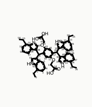 CCc1cccc2c(C(c3cc(OCC(=O)O)c(C(c4c[nH]c5c(CC)cccc45)c4c[nH]c5c(CC)cccc45)cc3OCC(=O)O)c3c[nH]c4c(CC)cccc34)c[nH]c12